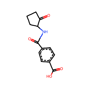 O=C(O)c1ccc(C(=O)NC2CCCC2=O)cc1